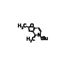 C=C1c2cc(C)oc2C=CN1C(C)(C)C